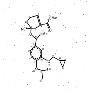 COC(=O)C1=CCCC(C#N)(OC(OC)c2ccc(OC(F)F)c(OCC3CC3)c2)C1